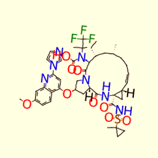 CC[C@@H]1C[C@H](C)CC/C=C\[C@@H]2C[C@@]2(C(=O)NS(=O)(=O)C2(C)CC2)NC(=O)[C@@H]2C[C@@H](Oc3cc(-n4ccnc4)nc4cc(OC)ccc34)CN2C(=O)[C@H]1N(C(=O)O)C(C)(C)C(F)(F)F